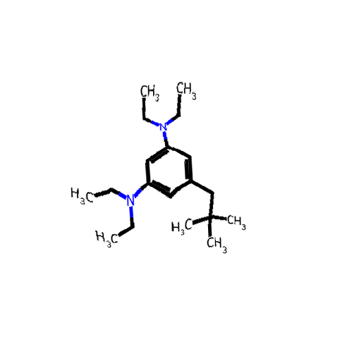 CCN(CC)c1cc(CC(C)(C)C)cc(N(CC)CC)c1